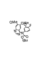 COc1cc2ncnc(N(C(=O)OC(C)(C)C)c3ccc(F)c(Cl)c3)c2cc1OC